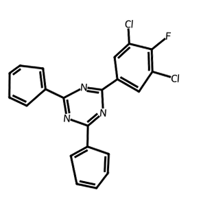 Fc1c(Cl)cc(-c2nc(-c3ccccc3)nc(-c3ccccc3)n2)cc1Cl